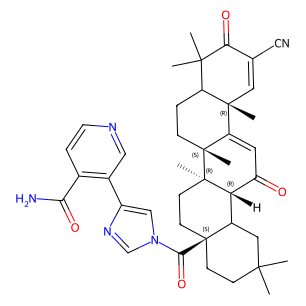 CC1(C)CC[C@]2(C(=O)n3cnc(-c4cnccc4C(N)=O)c3)CC[C@]3(C)[C@H](C(=O)C=C4[C@@]5(C)C=C(C#N)C(=O)C(C)(C)C5CC[C@]43C)C2C1